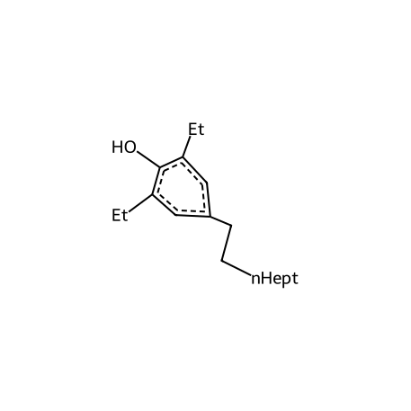 CCCCCCCCCc1cc(CC)c(O)c(CC)c1